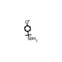 COc1ccc([C](C)(C)[SbH2])cc1